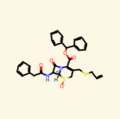 C=CCSCC1=C(C(=O)OC(c2ccccc2)c2ccccc2)N2C(=O)C(NC(=O)Cc3ccccc3)[C@H]2[S+]([O-])C1